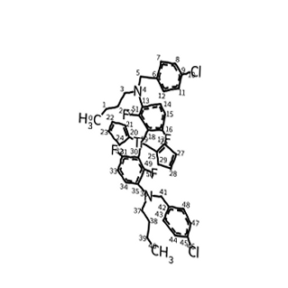 CCCCN(Cc1ccc(Cl)cc1)c1ccc(F)[c]([Ti]([C]2=CC=CC2)([C]2=CC=CC2)[c]2c(F)ccc(N(CCCC)Cc3ccc(Cl)cc3)c2F)c1F